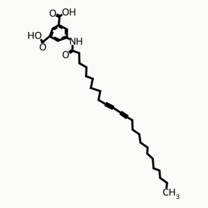 CCCCCCCCCCCCC#CC#CCCCCCCCCC(=O)Nc1cc(C(=O)O)cc(C(=O)O)c1